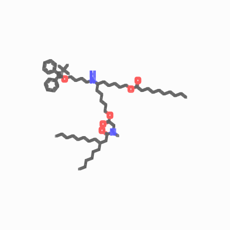 CCCCCCCCCC(=O)OCCCCCC(CCCCCOC(=O)CN(C)C(=O)CC(CCCCCC)CCCCCCCC)NCCCCO[Si](c1ccccc1)(c1ccccc1)C(C)(C)C